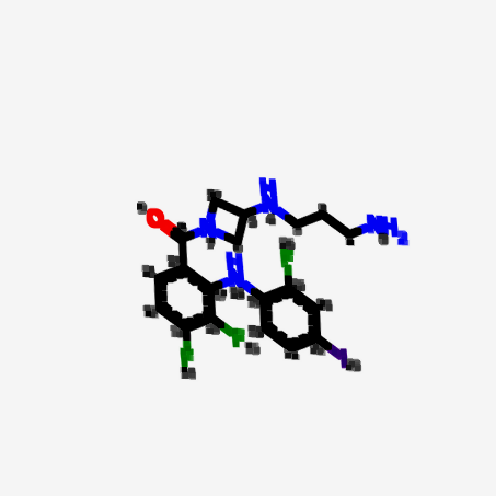 NCCCNC1CN(C(=O)c2ccc(F)c(F)c2Nc2ccc(I)cc2F)C1